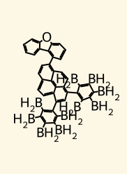 Bc1c(B)c(B)c(-c2cc(-c3c(B)c(B)c(B)c(B)c3B)c3ccc4c(-c5cccc6oc7ccccc7c56)ccc5ccc2c3c54)c(B)c1B